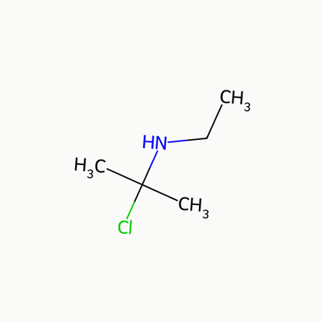 CCNC(C)(C)Cl